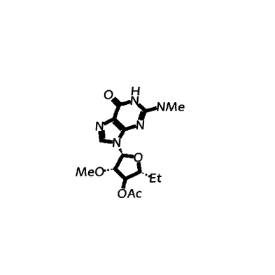 CC[C@H]1O[C@@H](n2cnc3c(=O)[nH]c(NC)nc32)[C@@H](OC)C1OC(C)=O